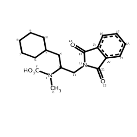 CN(C(=O)O)C(CC1CCCCC1)CN1C(=O)c2ccccc2C1=O